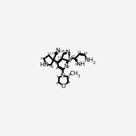 C[C@@H]1COCCN1c1cc(C2(C#N)CCNC2)c2cnn(C(=N)/C=C\N)c2n1